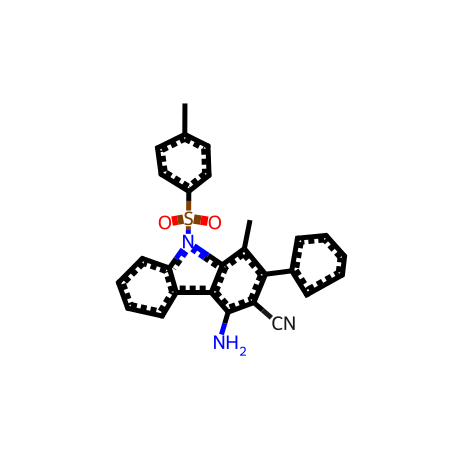 Cc1ccc(S(=O)(=O)n2c3ccccc3c3c(N)c(C#N)c(-c4ccccc4)c(C)c32)cc1